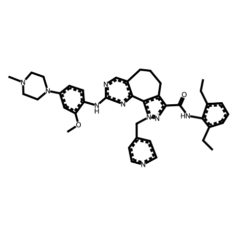 CCc1cccc(CC)c1NC(=O)c1nn(Cc2ccncc2)c2c1CCCc1cnc(Nc3ccc(N4CCN(C)CC4)cc3OC)nc1-2